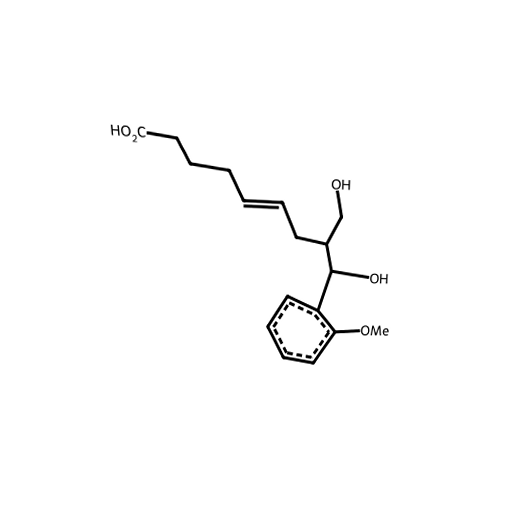 COc1ccccc1C(O)C(CO)CC=CCCCC(=O)O